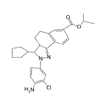 CC(C)OC(=O)c1ccc2c(c1)CCC1C2=NN(c2ccc(N)c(Cl)c2)C1C1CCCC1